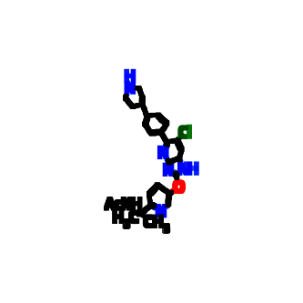 CC(=O)NC(C)(C)c1ccc(OC2=NC3N=C(c4ccc(C5=CCNCC5)cc4)C(Cl)=CC3N2)cn1